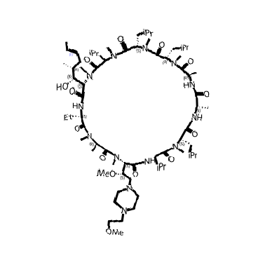 C/C=C/C[C@@H](C)[C@@H](O)[C@H]1C(=O)N[C@@H](CC)C(=O)N(C)[C@H](C)C(=O)N(C)[C@@H]([C@H](CN2CCN(CCOC)CC2)OC)C(=O)NC(C(C)C)C(=O)N(C)[C@@H](CC(C)C)C(=O)N[C@@H](C)C(=O)N[C@H](C)C(=O)N(C)[C@@H](CC(C)C)C(=O)N(C)[C@@H](CC(C)C)C(=O)N(C)C(C(C)C)C(=O)N1C